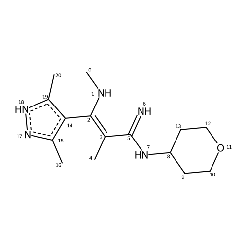 CN/C(=C(/C)C(=N)NC1CCOCC1)c1c(C)n[nH]c1C